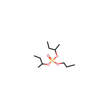 CCCOP(=O)(OC(C)CC)OC(C)CC